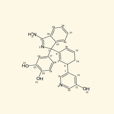 NC1=NC(C2=CC(c3cncc(O)c3)CC=C2)(c2ccc(O)c(O)c2)c2ccccc21